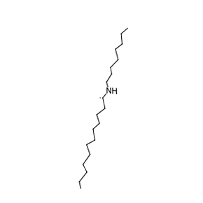 CCCCCCCCCCC[CH]NCCCCCCCC